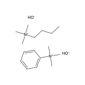 CCCC[N+](C)(C)C.C[N+](C)(C)c1ccccc1.[OH-].[OH-]